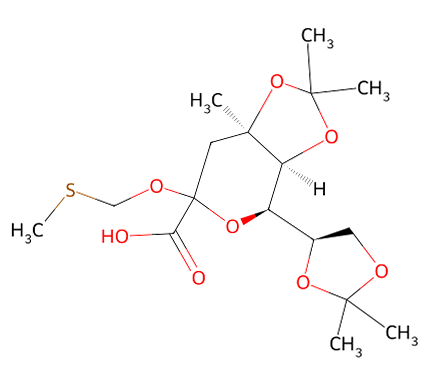 CSCOC1(C(=O)O)C[C@@]2(C)OC(C)(C)O[C@H]2[C@@H]([C@H]2COC(C)(C)O2)O1